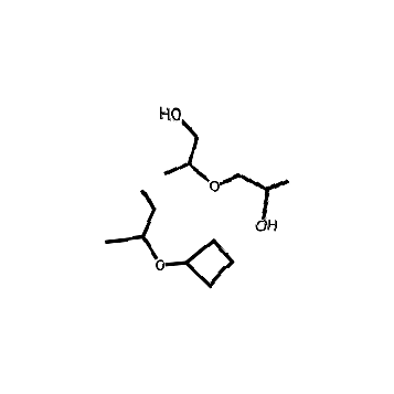 CC(O)COC(C)CO.CCC(C)OC1CCC1